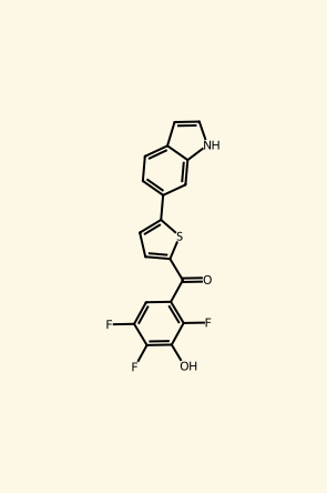 O=C(c1ccc(-c2ccc3cc[nH]c3c2)s1)c1cc(F)c(F)c(O)c1F